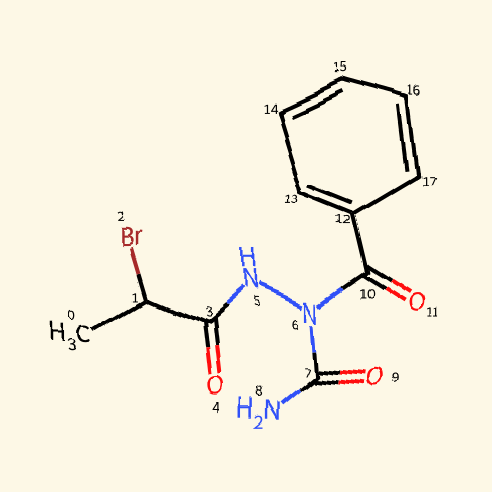 CC(Br)C(=O)NN(C(N)=O)C(=O)c1ccccc1